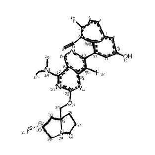 C#Cc1c(F)ccc2cc(O)cc(-c3ncc4c(N(C)C)nc(OCC56CCCN5C[C@H](F)C6)nc4c3F)c12